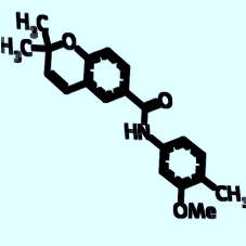 COc1cc(NC(=O)c2ccc3c(c2)C=CC(C)(C)O3)ccc1C